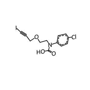 O=C(O)N(CCOCC#CI)c1ccc(Cl)cc1